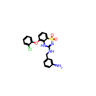 Nc1cccc(CNC2=NS(=O)(=O)c3cccc(Oc4ccccc4Cl)c3N2)c1